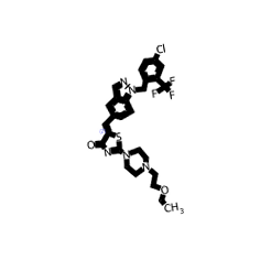 CCOCCN1CCN(C2=NC(=O)/C(=C/c3ccc4c(cnn4Cc4ccc(Cl)cc4C(F)(F)F)c3)S2)CC1